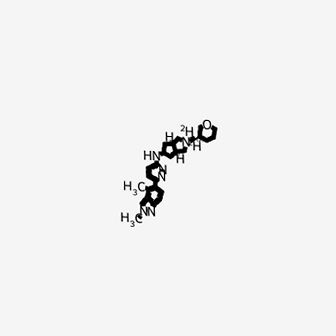 [2H]C([2H])([C@@H]1CCCOC1)N1C[C@H]2CC(Nc3ccc(-c4ccc5nn(C)cc5c4C)nn3)C[C@H]2C1